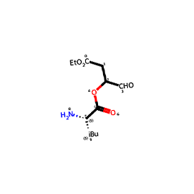 CCOC(=O)CC(C=O)OC(=O)[C@@H](N)[C@@H](C)CC